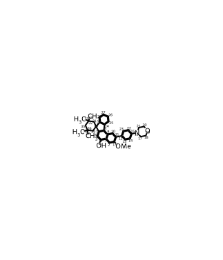 COc1cc2c(O)cc3c(c2cc1-c1ccc(N2CCOCC2)cc1)-c1ccccc1C31CC(C)(C)CC(C)(C)C1